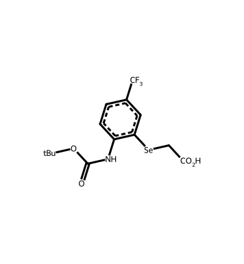 CC(C)(C)OC(=O)Nc1ccc(C(F)(F)F)cc1[Se]CC(=O)O